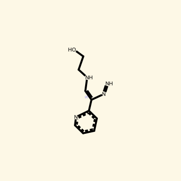 N=N/C(=C\NCCO)c1ccccn1